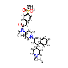 CCN(C(=O)Cc1ccc(S(C)(=O)=O)cc1)C1CCN(CCC(c2ccccc2)C2CCN(C)CC2)CC1